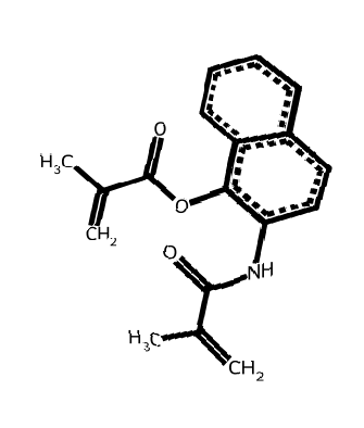 C=C(C)C(=O)Nc1ccc2ccccc2c1OC(=O)C(=C)C